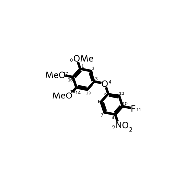 COc1cc(Oc2ccc([N+](=O)[O-])c(F)c2)cc(OC)c1OC